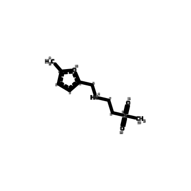 Cc1ccc(CNCCS(C)(=O)=O)o1